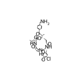 COc1ccc(C[C@H]2NC(=O)/C=C/C[C@@H]([C@H](C)C3OC3c3ccc(CN)cc3)OC(=O)[C@H](CC(C)C)NC(=O)C(C)(C)C3(CC3)NC2=O)cc1Cl